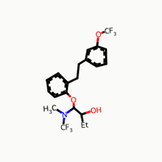 CCC(O)C(Oc1ccccc1CCc1cccc(OC(F)(F)F)c1)N(C)C(F)(F)F